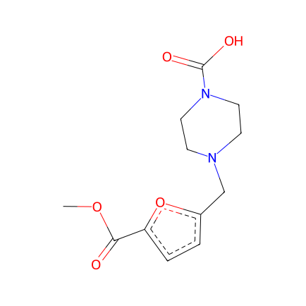 COC(=O)c1ccc(CN2CCN(C(=O)O)CC2)o1